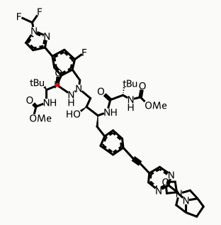 COC(=O)N[C@H](C(=O)N[C@@H](Cc1ccc(C#Cc2cnc(N3CC4CCC(C3)N4C3COC3)nc2)cc1)[C@@H](O)CN(Cc1c(F)cc(-c2ccn(C(F)F)n2)cc1F)NC(=O)[C@@H](NC(=O)OC)C(C)(C)C)C(C)(C)C